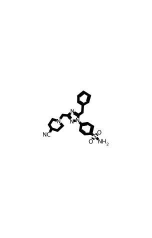 N#CC1CCN(Cc2nc(Cc3ccccc3)n(-c3ccc(S(N)(=O)=O)cc3)n2)CC1